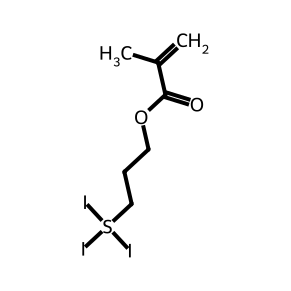 C=C(C)C(=O)OCCCS(I)(I)I